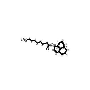 CC(C)(C)CCCCCCCC(=O)OC1C=Cc2cccc3cccc1c23